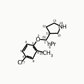 CCC[C@H](Oc1ccc(Cl)cc1C)C1CCNC1